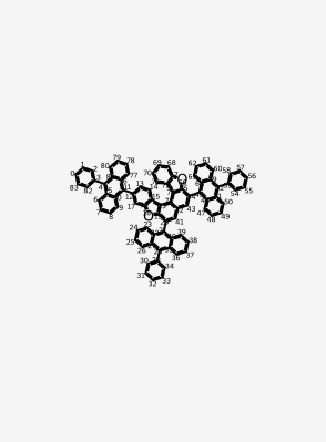 c1ccc(-c2c3ccccc3c(-c3ccc4c(c3)oc3c(-c5c6ccccc6c(-c6ccccc6)c6ccccc56)cc5cc(-c6c7ccccc7c(-c7ccccc7)c7ccccc67)c6oc7ccccc7c6c5c34)c3ccccc23)cc1